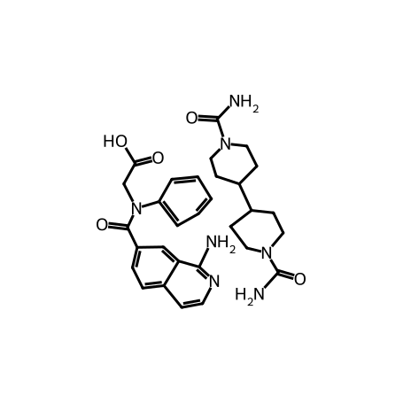 NC(=O)N1CCC(C2CCN(C(N)=O)CC2)CC1.Nc1nccc2ccc(C(=O)N(CC(=O)O)c3ccccc3)cc12